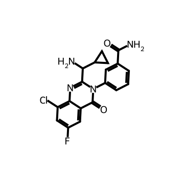 NC(=O)c1cccc(-n2c(C(N)C3CC3)nc3c(Cl)cc(F)cc3c2=O)c1